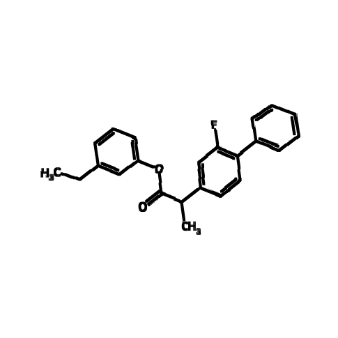 CCc1cccc(OC(=O)C(C)c2ccc(-c3ccccc3)c(F)c2)c1